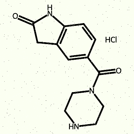 Cl.O=C1Cc2cc(C(=O)N3CCNCC3)ccc2N1